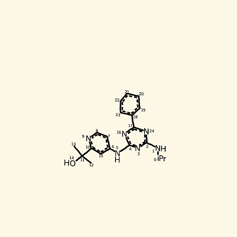 CC(C)Nc1nc(Nc2ccnc(C(C)(C)O)c2)nc(-c2ccccc2)n1